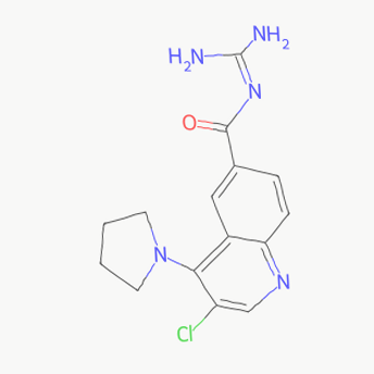 NC(N)=NC(=O)c1ccc2ncc(Cl)c(N3CCCC3)c2c1